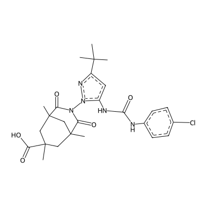 CC1(C(=O)O)CC2(C)CC(C)(C1)C(=O)N(n1nc(C(C)(C)C)cc1NC(=O)Nc1ccc(Cl)cc1)C2=O